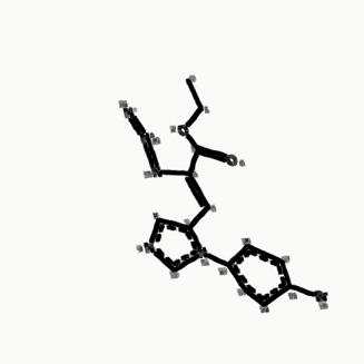 CCOC(=O)/C(=C/c1cncn1-c1ccc(Br)cc1)N=[N+]=[N-]